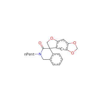 CCCCCN1Cc2ccccc2C2(COc3cc4c(cc32)OCO4)C1=O